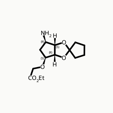 CCOC(=O)CO[C@H]1C[C@@H](N)[C@@H]2OC3(CCCC3)O[C@@H]21